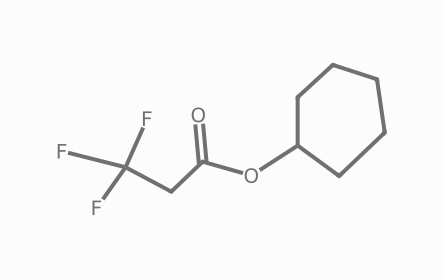 O=C(CC(F)(F)F)OC1CCCCC1